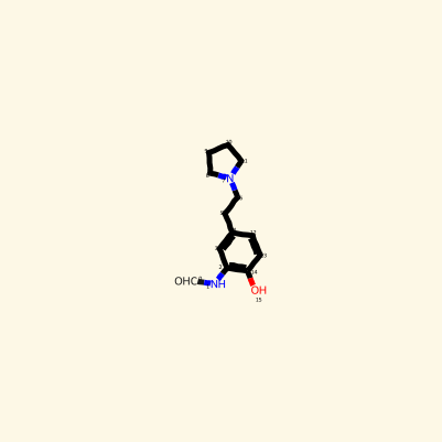 O=CNc1cc(CCN2CCCC2)ccc1O